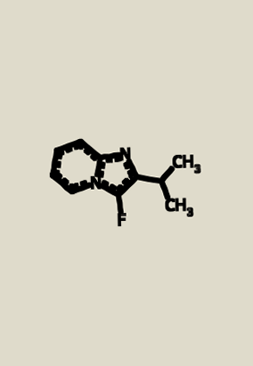 CC(C)c1nc2ccccn2c1F